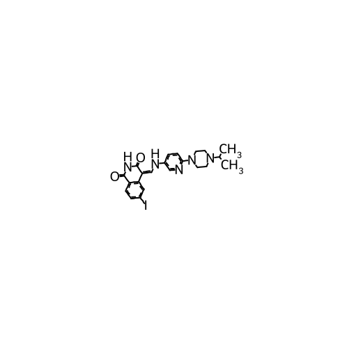 CC(C)N1CCN(c2ccc(N/C=C3\C(=O)NC(=O)c4ccc(I)cc43)cn2)CC1